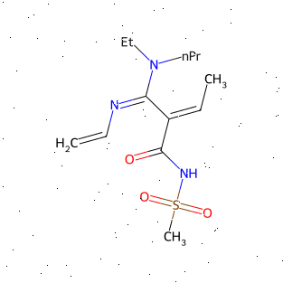 C=C/N=C(\C(=C/C)C(=O)NS(C)(=O)=O)N(CC)CCC